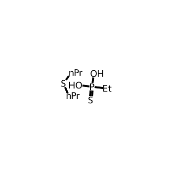 CCCSCCC.CCP(O)(O)=S